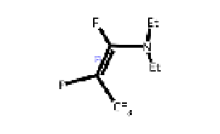 CCN(CC)/C(F)=C(/F)C(F)(F)F